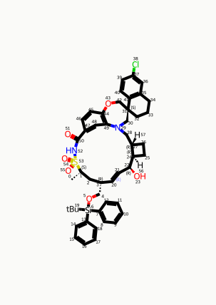 C[C@H]1C[C@@H](CO[Si](c2ccccc2)(c2ccccc2)C(C)(C)C)/C=C/[C@H](O)[C@@H]2CC[C@H]2CN2C[C@@]3(CCCc4cc(Cl)ccc43)COc3ccc(cc32)C(=O)NS1(=O)=O